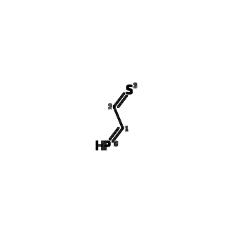 P=CC=S